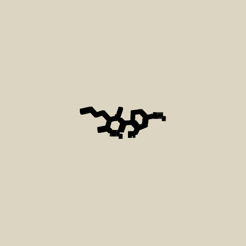 C=CCCC(C(=C)N)N(C)C(=C)C1=C(C(C)C)C=C(N)CC1